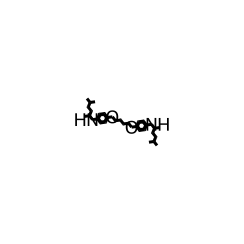 CC(C)CCC(C)Nc1ccc(OCCCCOc2ccc(NC(C)CCC(C)C)cc2)cc1